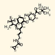 C=C(c1nc(/C=C/CNC(=O)C2CC2)cc2c(O[C@@H]3CCN(C(=O)OC(C)(C)C)C[C@@H]3F)cccc12)C(F)(F)F